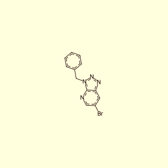 Brc1cnc2c(c1)nnn2Cc1ccccc1